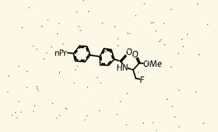 CCCc1ccc(-c2ccc(C(=O)NC(CF)C(=O)OC)cc2)cc1